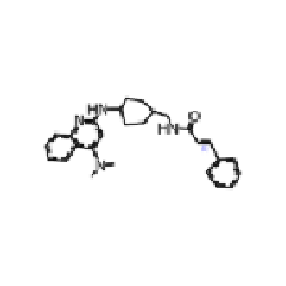 CN(C)c1cc(NC2CCC(CNC(=O)/C=C/c3ccccc3)CC2)nc2ccccc12